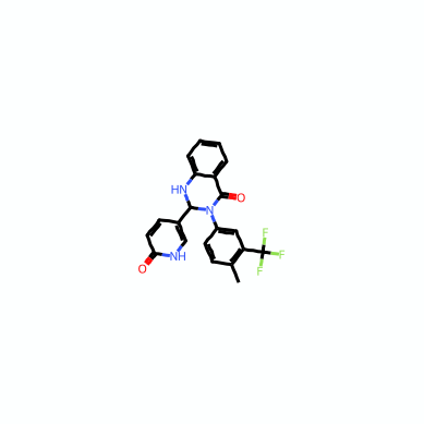 Cc1ccc(N2C(=O)c3ccccc3NC2c2ccc(=O)[nH]c2)cc1C(F)(F)F